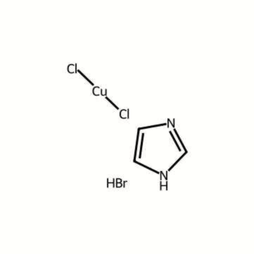 Br.[Cl][Cu][Cl].c1c[nH]cn1